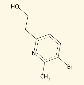 Cc1nc(CCO)ccc1Br